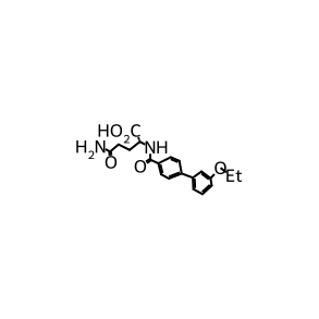 CCOc1cccc(-c2ccc(C(=O)N[C@@H](CCC(N)=O)C(=O)O)cc2)c1